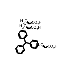 C=CC(=O)O.C=CC(=O)O.C=CC(=O)O.c1ccc(C(c2ccccc2)c2ccccc2)cc1